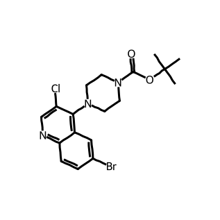 CC(C)(C)OC(=O)N1CCN(c2c(Cl)cnc3ccc(Br)cc23)CC1